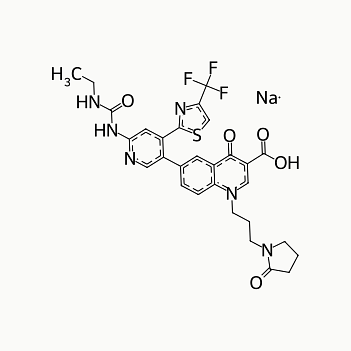 CCNC(=O)Nc1cc(-c2nc(C(F)(F)F)cs2)c(-c2ccc3c(c2)c(=O)c(C(=O)O)cn3CCCN2CCCC2=O)cn1.[Na]